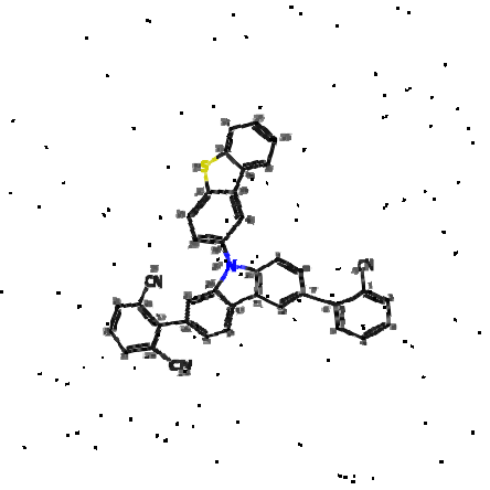 N#Cc1ccccc1-c1ccc2c(c1)c1ccc(-c3c(C#N)cccc3C#N)cc1n2-c1ccc2sc3ccccc3c2c1